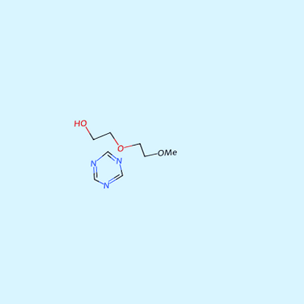 COCCOCCO.c1ncncn1